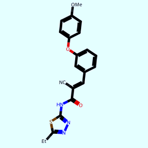 CCc1nnc(NC(=O)/C(C#N)=C/c2cccc(Oc3ccc(OC)cc3)c2)s1